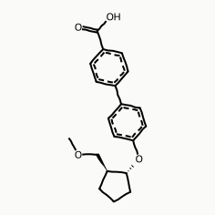 COC[C@@H]1CCC[C@H]1Oc1ccc(-c2ccc(C(=O)O)cc2)cc1